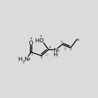 C/C=C/N/C(O)=C/C(N)=O